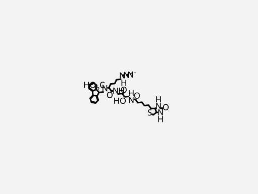 [N-]=[N+]=NCCCCC(C(=O)NCC(O)C(O)CNC(=O)CCCCC1SCC2NC(=O)NC21)N(CC1c2ccccc2-c2ccccc21)C(=O)O